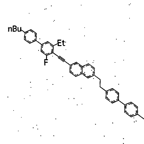 CCCCc1ccc(-c2cc(F)c(C#Cc3ccc4cc(CCc5ccc(-c6ccc(C)cc6)cc5)ccc4c3)c(CC)c2)cc1